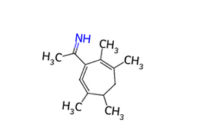 CC(=N)C1=C=C(C)C(C)CC(C)=C1C